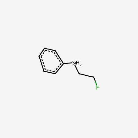 FCC[SiH2]c1ccccc1